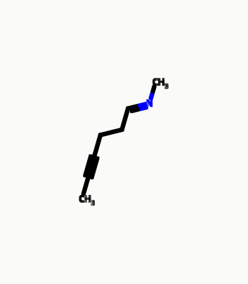 CC#CCCC=NC